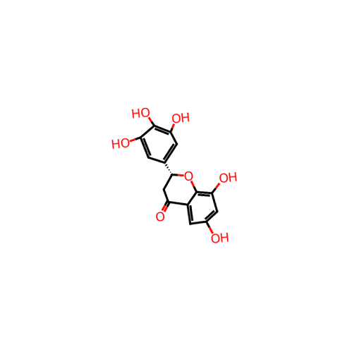 O=C1C[C@H](c2cc(O)c(O)c(O)c2)Oc2c(O)cc(O)cc21